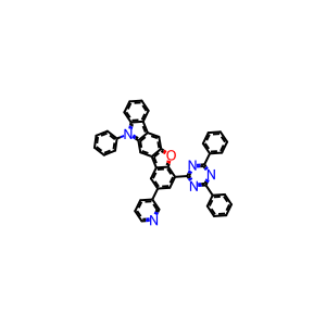 c1ccc(-c2nc(-c3ccccc3)nc(-c3cc(-c4cccnc4)cc4c3oc3cc5c6ccccc6n(-c6ccccc6)c5cc34)n2)cc1